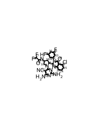 N#Cc1c(N)nc(N)nc1N1CC(NC(=O)C(F)F)C[C@H]1c1nc2cccc(Cl)c2c(=O)n1-c1cc(F)cc(F)c1